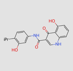 CC(C)c1ccc(NC(=O)c2c[nH]c3cccc(O)c3c2=O)cc1O